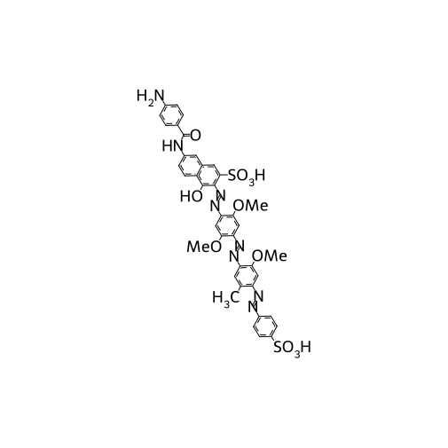 COc1cc(N=Nc2ccc(S(=O)(=O)O)cc2)c(C)cc1N=Nc1cc(OC)c(N=Nc2c(S(=O)(=O)O)cc3cc(NC(=O)c4ccc(N)cc4)ccc3c2O)cc1OC